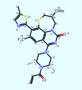 C=CC(=O)N1[C@H](C)CN(c2nc(=O)n3c4c(c(-c5ncc(C)s5)c(C(F)(F)F)cc24)SC[C@@H](OC)C3)C[C@@H]1C